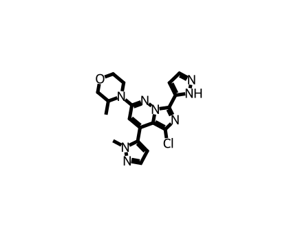 CC1COCCN1c1cc(-c2ccnn2C)c2c(Cl)nc(-c3ccn[nH]3)n2n1